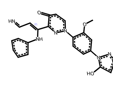 COc1cc(-n2nccc2O)ccc1-n1ccc(=O)c(/C(=C/C=N)Nc2ccccc2)n1